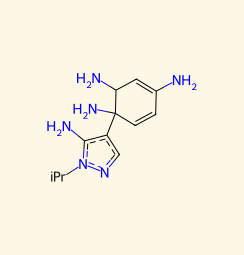 CC(C)n1ncc(C2(N)C=CC(N)=CC2N)c1N